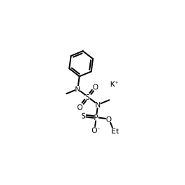 CCOP([O-])(=S)N(C)S(=O)(=O)N(C)c1ccccc1.[K+]